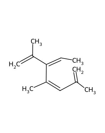 C=C(C)/C=C(C)\C(=C/C)C(=C)C